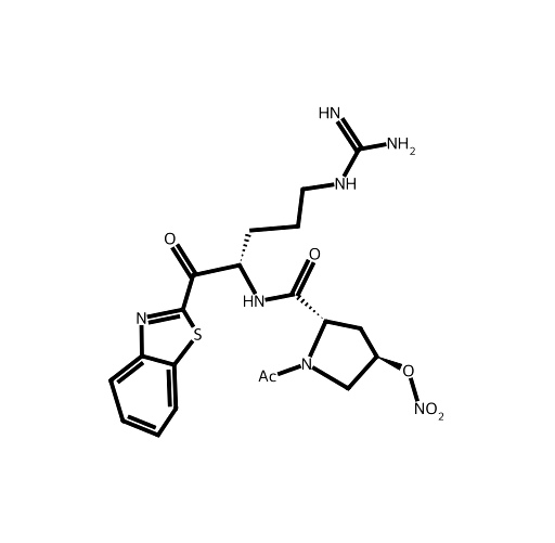 CC(=O)N1C[C@H](O[N+](=O)[O-])C[C@H]1C(=O)N[C@@H](CCCNC(=N)N)C(=O)c1nc2ccccc2s1